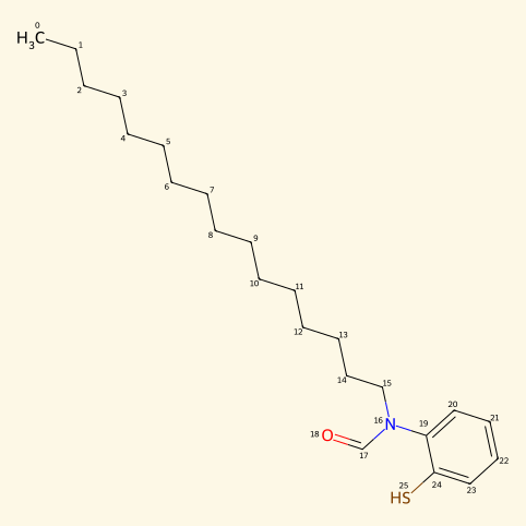 CCCCCCCCCCCCCCCCN(C=O)c1ccccc1S